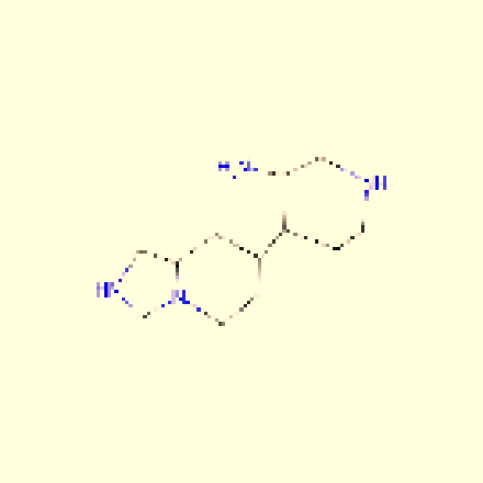 NC1CNCCC1C1CCN2CNCC2C1